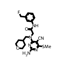 CSc1nc(N)nc(N(CC(=O)Nc2cccc(CF)c2)CC2CCOCC2)c1C#N